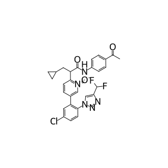 CC(=O)c1ccc(NC(=O)C(CC2CC2)c2ccc(-c3cc(Cl)ccc3-n3cc(C(F)F)nn3)c[n+]2[O-])cc1